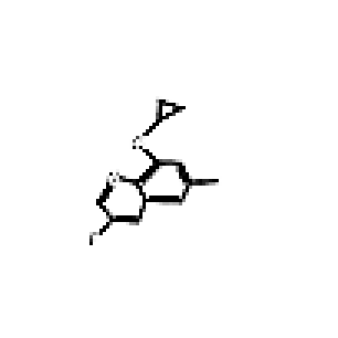 Cc1cc(OC2CC2)c2ncc(F)cc2c1